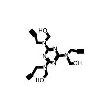 C#CCN(CO)c1nc(N(CO)CC#C)nc(N(CO)CC#C)n1